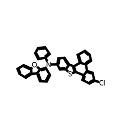 Clc1ccc2c(c1)c1ccccc1c1c3ccc(N(c4ccccc4)c4cccc5c4oc4ccccc45)cc3sc21